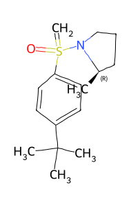 C=S(=O)(c1ccc(C(C)(C)C)cc1)N1CCC[C@H]1C